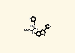 CSC(Oc1ccc2ncc(-c3ccsc3)cc2c1)C(=O)NCc1cccnc1